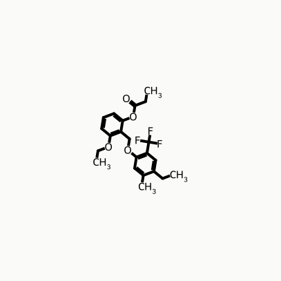 CCOc1cccc(OC(=O)CC)c1COc1cc(C)c(CC)cc1C(F)(F)F